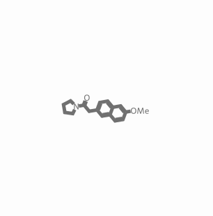 COc1ccc2cc(CC(=O)N3CCCC3)ccc2c1